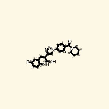 O=C(c1ccc(-n2cc(C3=Cc4cc(F)ccc4NC3O)nn2)cc1)N1CCCCC1